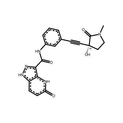 CN1CC[C@@](O)(C#Cc2cccc(NC(=O)c3n[nH]c4ccc(=O)[nH]c34)c2)C1=O